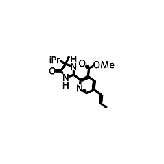 CC=Cc1cnc(C2NC(=O)C(C)(C(C)C)N2)c(C(=O)OC)c1